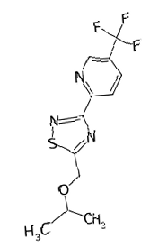 CC(C)OCc1nc(-c2ccc(C(F)(F)F)cn2)ns1